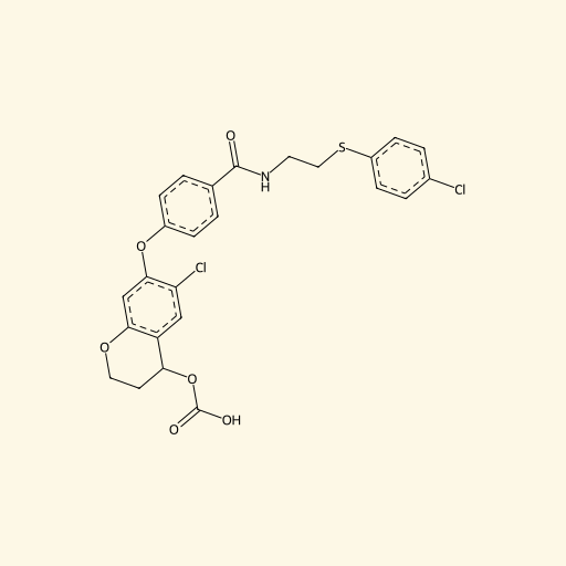 O=C(O)OC1CCOc2cc(Oc3ccc(C(=O)NCCSc4ccc(Cl)cc4)cc3)c(Cl)cc21